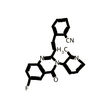 Cc1ncccc1-n1c(C=Cc2ccccc2C#N)nc2ccc(F)cc2c1=O